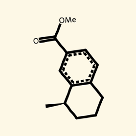 COC(=O)c1ccc2c(c1)[C@H](C)CCC2